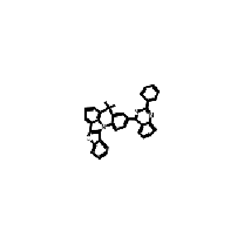 CC1(C)c2cc(-c3nc(-c4ccccc4)nc4ccccc34)ccc2-n2c3c1cccc3c1oc3ccccc3c12